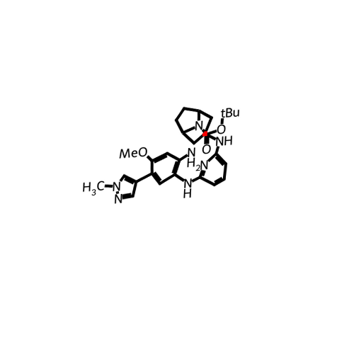 COc1cc(N)c(Nc2cccc(NC3CC4CCC(C3)N4C(=O)OC(C)(C)C)n2)cc1-c1cnn(C)c1